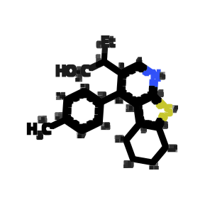 CCC(C(=O)O)c1cnc2sc3c(c2c1-c1ccc(C)cc1)CCCC3